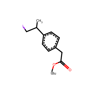 CC(CI)c1ccc(CC(=O)OC(C)(C)C)cc1